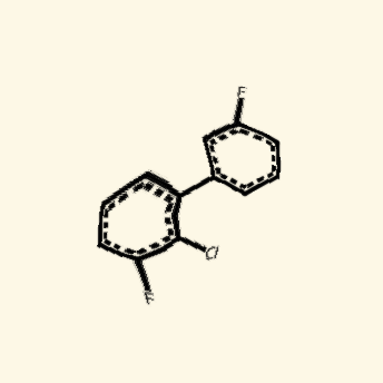 Fc1cccc(-c2cccc(F)c2Cl)c1